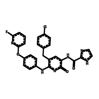 O=C(Nc1cn(Cc2ccc(Cl)cc2)c(Nc2ccc(Oc3cccc(F)n3)cc2)nc1=O)c1ncc[nH]1